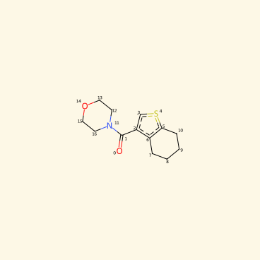 O=C(c1[c]sc2c1CCCC2)N1CCOCC1